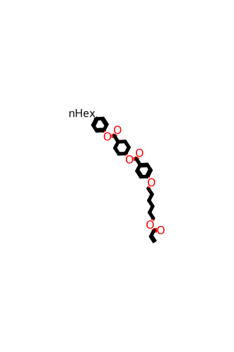 C=CC(=O)OCCCCCCOc1ccc(C(=O)OC2CCC(C(=O)Oc3ccc(CCCCCC)cc3)CC2)cc1